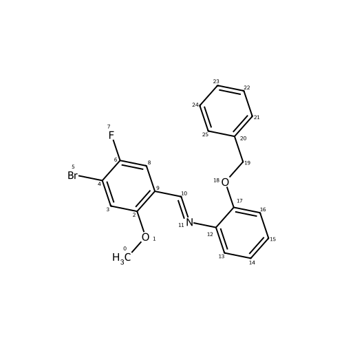 COc1cc(Br)c(F)cc1C=Nc1ccccc1OCc1ccccc1